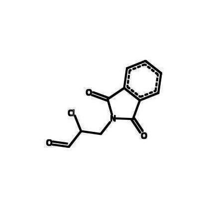 O=CC(Cl)CN1C(=O)c2ccccc2C1=O